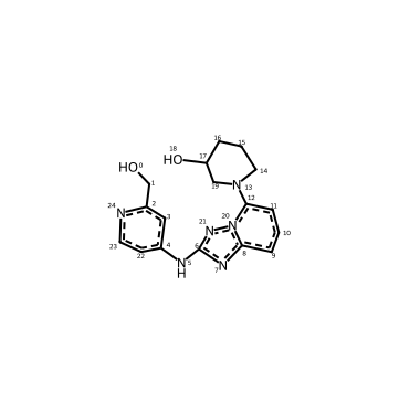 OCc1cc(Nc2nc3cccc(N4CCCC(O)C4)n3n2)ccn1